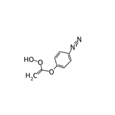 C=C(OO)Oc1ccc([N+]#N)cc1